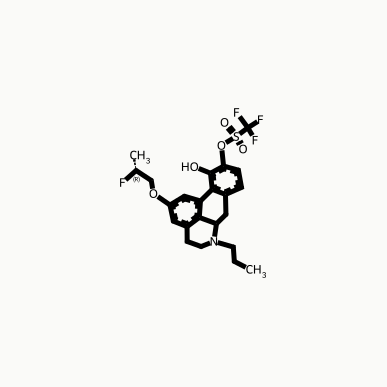 CCCN1CCc2cc(OC[C@@H](C)F)cc3c2C1Cc1ccc(OS(=O)(=O)C(F)(F)F)c(O)c1-3